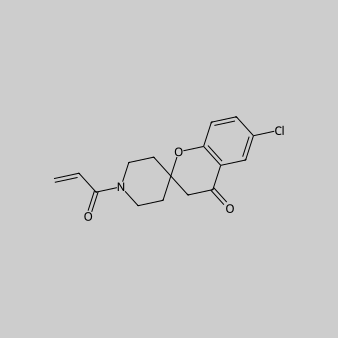 C=CC(=O)N1CCC2(CC1)CC(=O)c1cc(Cl)ccc1O2